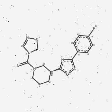 O=C(N1C=NSC1)N1CCC[C@H](c2nc(-c3ccc(F)cc3)no2)C1